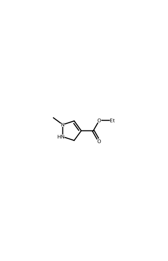 CCOC(=O)C1=CN(C)NC1